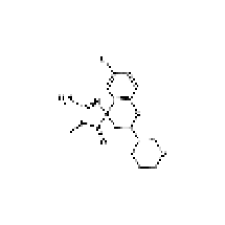 CN1C(=O)C2(CC(C3CCCOC3)Oc3ccc(Br)cc32)N=C1N